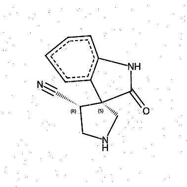 N#C[C@H]1CNC[C@]12C(=O)Nc1ccccc12